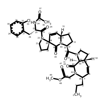 CCC[C@@H]1C=C[C@H]2CCN(C(=O)[C@@H]3CC[C@H]4C=C[C@]5(CCCN5C(=O)[C@H](Cc5ccccc5Cl)NC(C)=O)C(=O)N43)[C@@H]2C(=O)N1CC(=O)OC